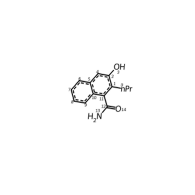 CCCc1c(O)cc2ccccc2c1C(N)=O